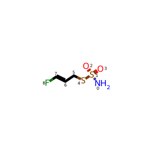 NS(=O)(=O)SCC=CF